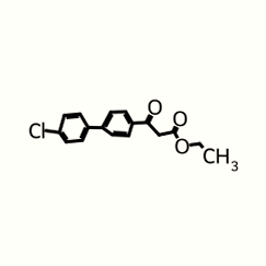 CCOC(=O)CC(=O)c1ccc(-c2ccc(Cl)cc2)cc1